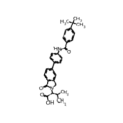 CC(C)C(C(=O)O)N1Cc2cc(-c3ccc(NC(=O)c4ccc(C(C)(C)C)cc4)cc3)ccc2C1=O